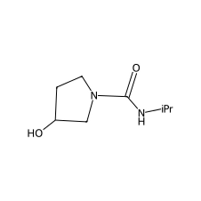 CC(C)NC(=O)N1CCC(O)C1